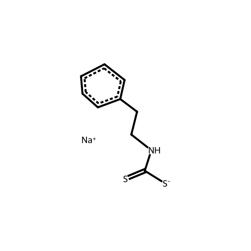 S=C([S-])NCCc1ccccc1.[Na+]